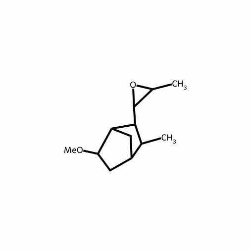 COC1CC2CC1C(C1OC1C)C2C